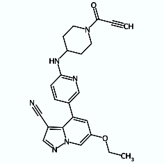 C#CC(=O)N1CCC(Nc2ccc(-c3cc(OCC)cn4ncc(C#N)c34)cn2)CC1